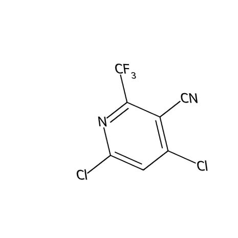 N#Cc1c(Cl)cc(Cl)nc1C(F)(F)F